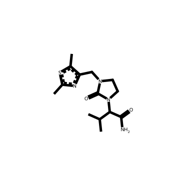 Cc1nc(CN2CCN(C(C(N)=O)C(C)C)C2=O)c(C)s1